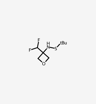 CC(C)(C)SNC1(C(F)F)COC1